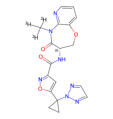 [2H]C([2H])([2H])N1C(=O)[C@@H](NC(=O)c2cc(C3(n4nccn4)CC3)on2)COc2cccnc21